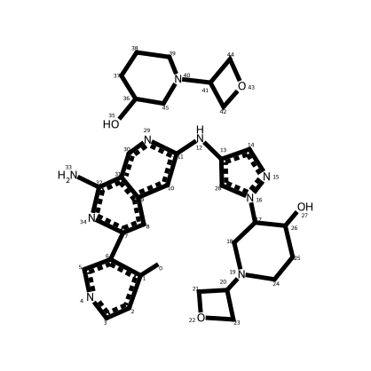 Cc1ccncc1-c1cc2cc(Nc3cnn(C4CN(C5COC5)CCC4O)c3)ncc2c(N)n1.OC1CCCN(C2COC2)C1